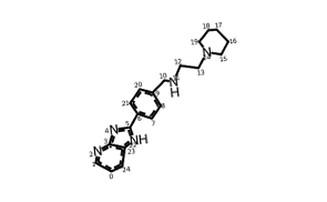 c1cnc2nc(-c3ccc(CNCCN4CCCCC4)cc3)[nH]c2c1